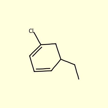 CCC1C=CC=C(Cl)C1